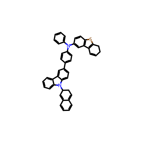 C1=Cc2c(sc3ccc(N(c4ccccc4)c4ccc(-c5ccc6c(c5)c5ccccc5n6C5C=c6ccccc6=CC5)cc4)cc23)CC1